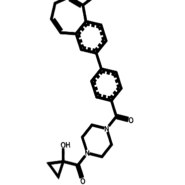 CC1=CCC=Cc2cc(-c3ccc(C(=O)N4CCN(C(=O)C5(O)CC5)CC4)cc3)ccc21